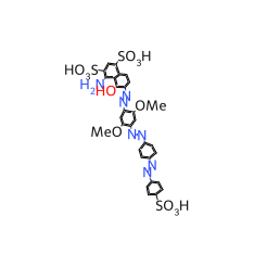 COc1cc(N=Nc2ccc3c(S(=O)(=O)O)cc(S(=O)(=O)O)c(N)c3c2O)c(OC)cc1N=Nc1ccc(N=Nc2ccc(S(=O)(=O)O)cc2)cc1